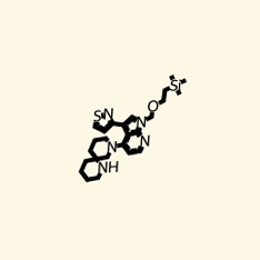 C[Si](C)(C)CCOCn1cc(-c2ccsn2)c2c(N3CCCC4(CCCCN4)C3)ccnc21